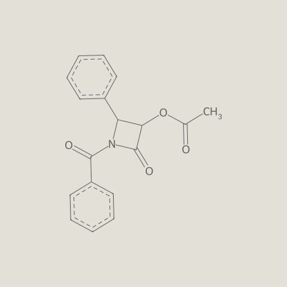 CC(=O)OC1C(=O)N(C(=O)c2ccccc2)C1c1ccccc1